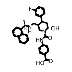 C[C@@H](NCC1CN(C(=O)Nc2ccc(C(=O)O)cc2)CCC1c1cccc(F)c1)c1cccc2ccccc12.Cl